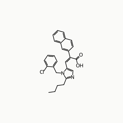 CCCCc1ncc(C=C(C(=O)O)c2ccc3ccccc3c2)n1Cc1ccccc1Cl